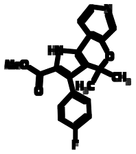 COC(=O)c1[nH]c2c(c1-c1ccc(F)cc1)C(C)(C)Oc1cnccc1-2